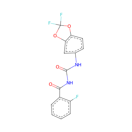 O=C(NC(=O)c1ccccc1F)Nc1ccc2c(c1)OC(F)(F)O2